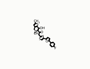 Cc1cc2c(s1)C(O)=C(C(=O)Cc1nc(-c3ccc(-c4ccc(F)cc4)o3)cs1)N(C)C2